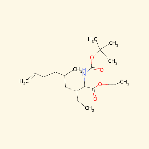 C=CCCC(C)C[C@@H](CC)C(NC(=O)OC(C)(C)C)C(=O)OCC